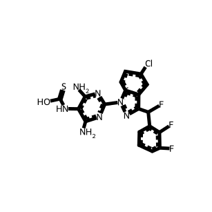 Nc1nc(-n2nc(C(F)c3cccc(F)c3F)c3cc(Cl)ccc32)nc(N)c1NC(O)=S